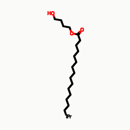 CC(C)CCCCCCCCCCCCCCC(=O)OCCCCO